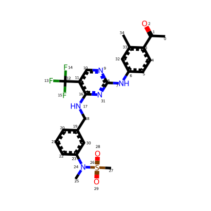 CC(=O)c1ccc(Nc2ncc(C(F)(F)F)c(NCc3cccc(N(C)S(C)(=O)=O)c3)n2)cc1C